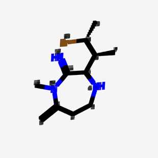 C=C1CCNC([C@H](C)[C@@H](C)Br)C(=N)N1C